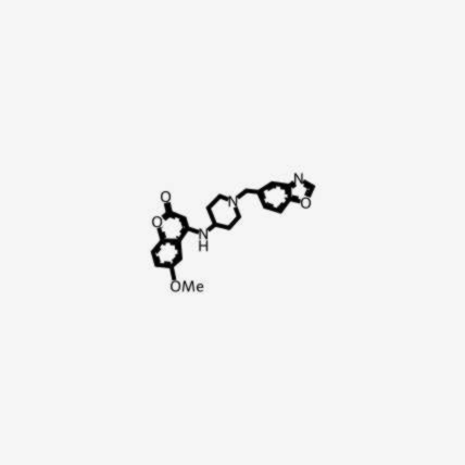 COc1ccc2oc(=O)cc(NC3CCN(Cc4ccc5ocnc5c4)CC3)c2c1